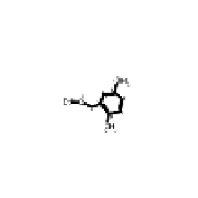 CCOCc1c[c]([BiH2])ccc1C